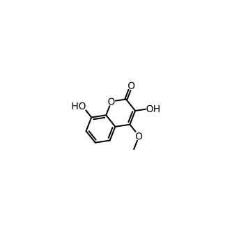 COc1c(O)c(=O)oc2c(O)cccc12